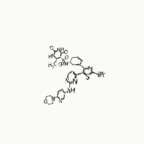 Cc1[nH]c(=O)[nH]c(=O)c1S(=O)(=O)NC1C=C(c2nc(C(C)C)sc2-c2ccnc(Nc3ccc(N4CCOCC4)nc3)n2)C=CC1